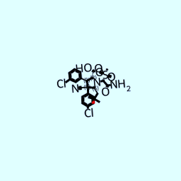 CC(C)(C)C[C@@H]1N(C(C(N)=O)S(C)(=O)=O)[C@@H](C(=O)O)[C@H](c2cccc(Cl)c2)[C@@]1(C#N)c1ccc(Cl)cc1